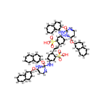 O=S(=O)(O)c1cc(NC2(Oc3ccc4ccccc4c3)N=CC=C(Oc3ccc4ccccc4c3)N2)ccc1C=Cc1ccc(NC2(Oc3ccc4ccccc4c3)N=CC=C(Oc3ccc4ccccc4c3)N2)cc1S(=O)(=O)O